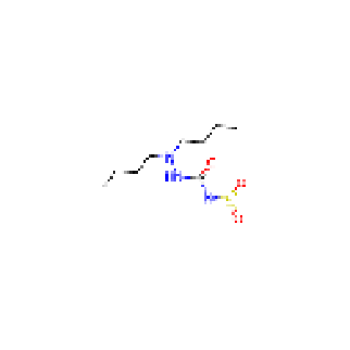 CCCCN(CCCC)NC(=O)N=S(=O)=O